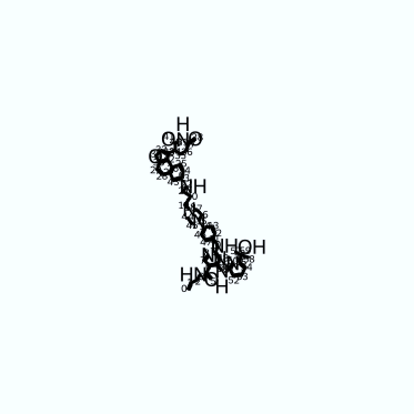 C=CCNC(=O)c1cnc(Nc2ccc(N3CCN(CCCNc4ccc5c(ccc6occ(C7CCC(=O)NC7=O)c65)c4)CC3)cc2)nc1Nc1cccc(C(C)(C)O)n1